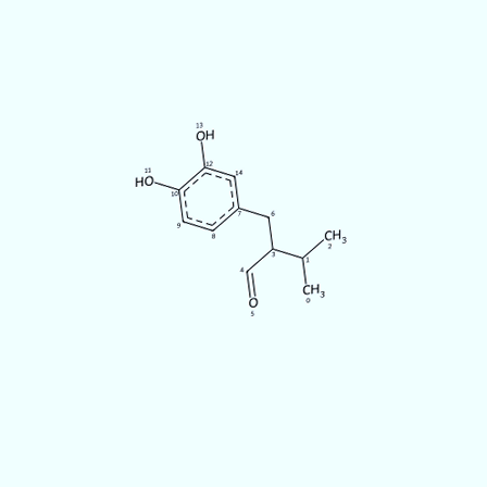 CC(C)C(C=O)Cc1ccc(O)c(O)c1